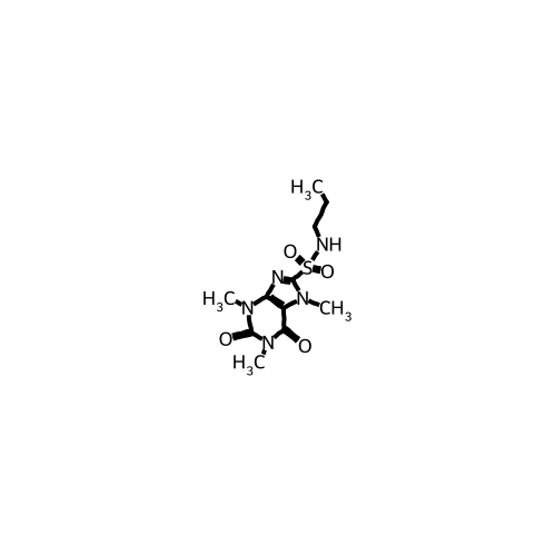 CCCNS(=O)(=O)c1nc2c(c(=O)n(C)c(=O)n2C)n1C